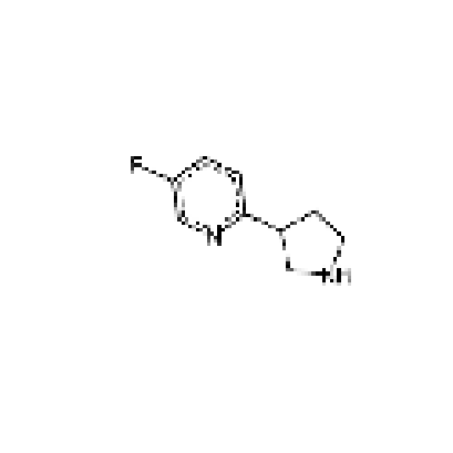 Fc1ccc(C2CCNC2)nc1